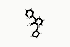 O=c1c(-c2ccccn2)cccn1C1CCCC1